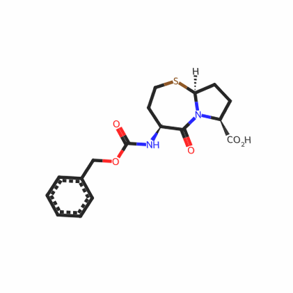 O=C(N[C@H]1CCS[C@H]2CC[C@@H](C(=O)O)N2C1=O)OCc1ccccc1